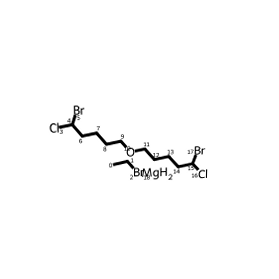 CCBr.ClC(Br)CCCCOCCCCC(Cl)Br.[MgH2]